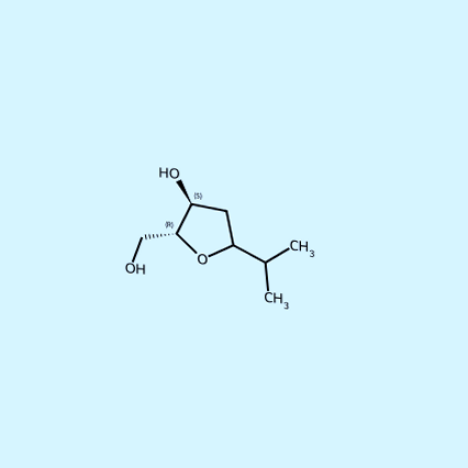 CC(C)C1C[C@H](O)[C@@H](CO)O1